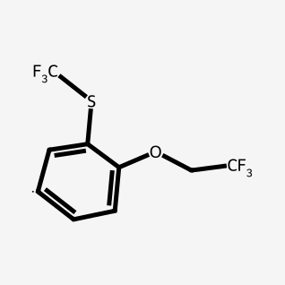 FC(F)(F)COc1cc[c]cc1SC(F)(F)F